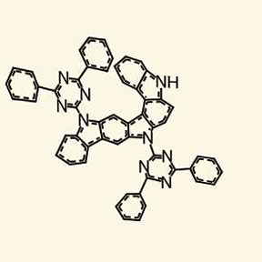 c1ccc(-c2nc(-c3ccccc3)nc(-n3c4ccccc4c4cc5c(cc43)c3c4c(ccc3n5-c3nc(-c5ccccc5)nc(-c5ccccc5)n3)[nH]c3ccccc34)n2)cc1